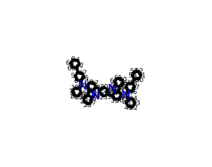 c1ccc(-c2ccc(N(c3ccccc3)c3ccc4c5cc6c(cc5n5c7ccccc7c3c45)c3ccc(N(c4ccccc4)c4ccc(-c5ccccc5)cc4)c4c5ccccc5n6c34)cc2)cc1